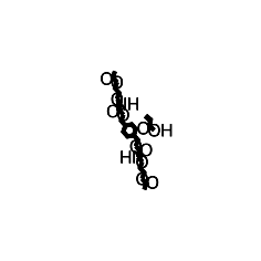 C=CC(=O)O.CC(=O)OCCONC(=O)OCC1CCC(COC(=O)NOCCOC(C)=O)CC1